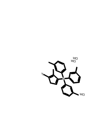 CC1=[C]([Ti])CC=C1[Si](c1cccc(C)c1)(c1cccc(C)c1)c1cccc(C)c1.Cl.Cl.Cl